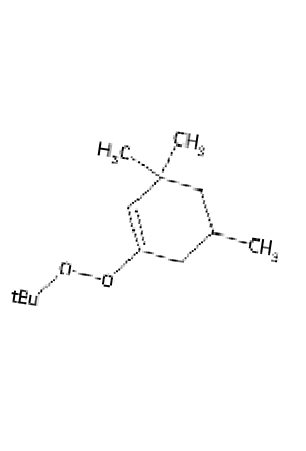 CC1CC(OOC(C)(C)C)=CC(C)(C)C1